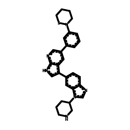 c1cc(-c2cnc3[nH]cc(-c4ccc5ncn(C6CCCNC6)c5c4)c3c2)cc(N2CCCCS2)c1